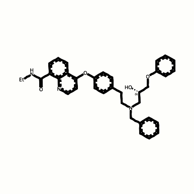 CCNC(=O)c1cccc2c(Oc3ccc(CCN(Cc4ccccc4)C[C@H](O)COc4ccccc4)cc3)ccnc12